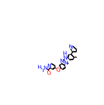 Cc1ccc(Nc2nc3cc(Oc4ccnc(C(N)=O)c4)ccc3n2C)cc1-c1cccnc1